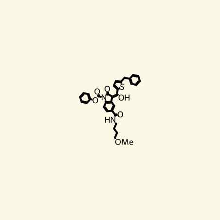 COCCCCNC(=O)c1ccc2c(c1)C(=C(O)c1ccc(Cc3ccccc3)s1)C(=O)N2C(=O)Oc1ccccc1